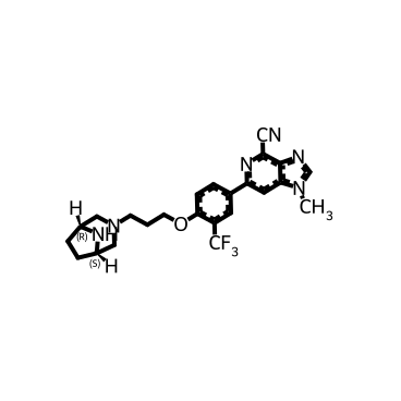 Cn1cnc2c(C#N)nc(-c3ccc(OCCCN4C[C@H]5CC[C@@H](C4)N5)c(C(F)(F)F)c3)cc21